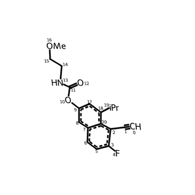 C#Cc1c(F)ccc2cc(OC(=O)NCCOC)cc(C(C)C)c12